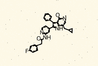 Cn1cc(CC2CC2)c2[nH]c(-c3ccnc(NC(=O)Cc4ccc(F)cc4)c3)c(-c3ccccc3)c2c1=O